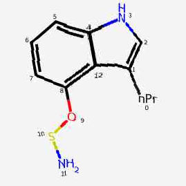 CCCc1c[nH]c2cccc(OSN)c12